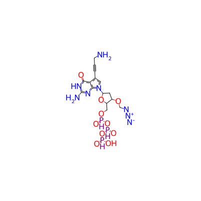 [N-]=[N+]=NCOC1CC(n2cc(C#CCN)c3c(=O)[nH]c(N)nc32)OC1CO[PH](=O)O[PH](=O)O[PH](=O)O